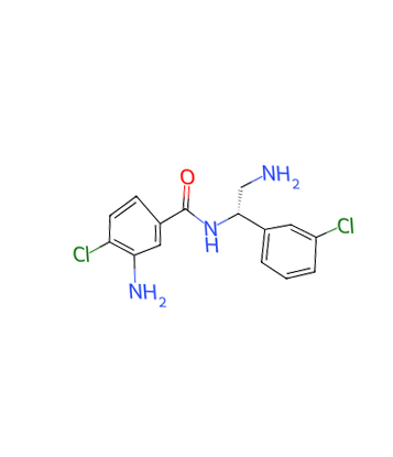 NC[C@@H](NC(=O)c1ccc(Cl)c(N)c1)c1cccc(Cl)c1